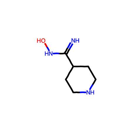 N=C(NO)C1CCNCC1